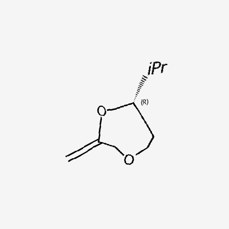 C=C1OC[C@@H](C(C)C)O1